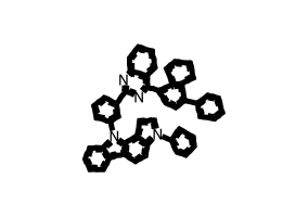 c1ccc(-c2ccc(-c3nc(-c4cccc(-n5c6ccccc6c6ccc7c(ccn7-c7ccccc7)c65)c4)nc4ccccc34)c3ccccc23)cc1